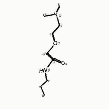 CCCNC(=O)COCCN(C)C